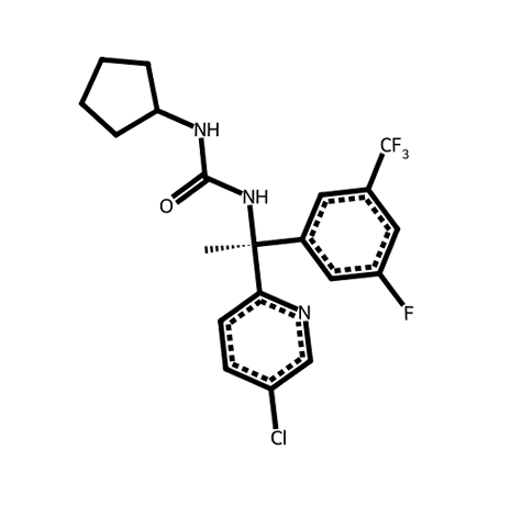 C[C@](NC(=O)NC1CCCC1)(c1cc(F)cc(C(F)(F)F)c1)c1ccc(Cl)cn1